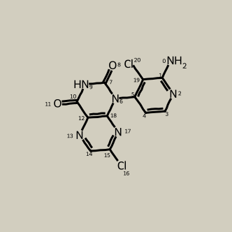 Nc1nccc(-n2c(=O)[nH]c(=O)c3ncc(Cl)nc32)c1Cl